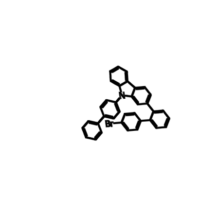 Brc1ccc(-c2ccccc2-c2ccc3c4ccccc4n(-c4ccc(-c5ccccc5)cc4)c3c2)cc1